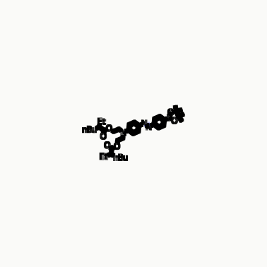 CCCCC(CC)C(=O)OCCN(CCOC(=O)C(CC)CCCC)c1ccc(/N=N/c2ccc(B3OC(C)(C)C(C)(C)O3)cc2)cc1